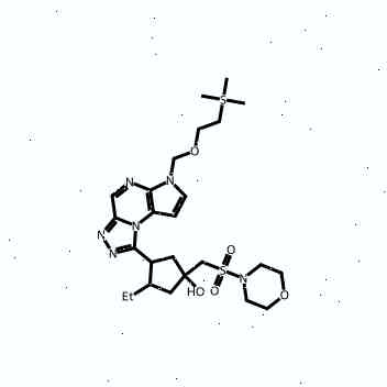 CCC1CC(O)(CS(=O)(=O)N2CCOCC2)CC1c1nnc2cnc3c(ccn3COCCS(C)(C)C)n12